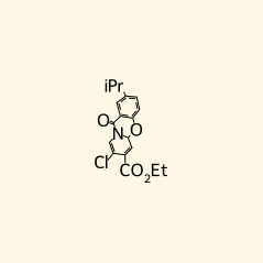 CCOC(=O)C1=CC2Oc3ccc(C(C)C)cc3C(=O)N2C=C1Cl